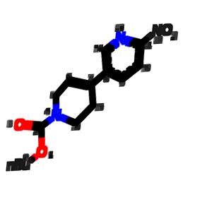 CCCCOC(=O)N1CC=C(c2ccc([N+](=O)[O-])nc2)CC1